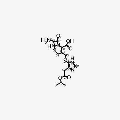 CC(C)OC(=O)Cc1nn[nH]c1SCC1=C(C(=O)O)N2C(=O)C(N)[C@@H]2SC1